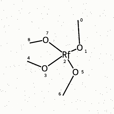 C[O][Rf]([O]C)([O]C)[O]C